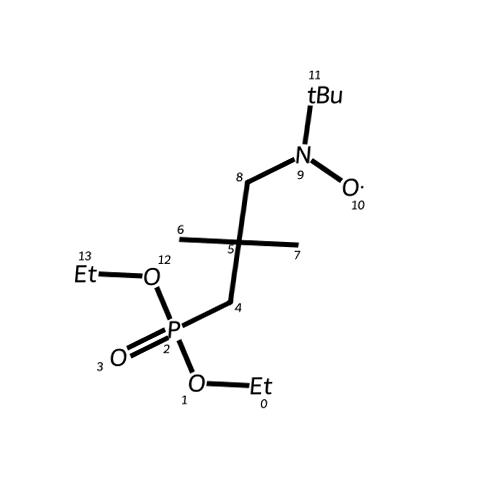 CCOP(=O)(CC(C)(C)CN([O])C(C)(C)C)OCC